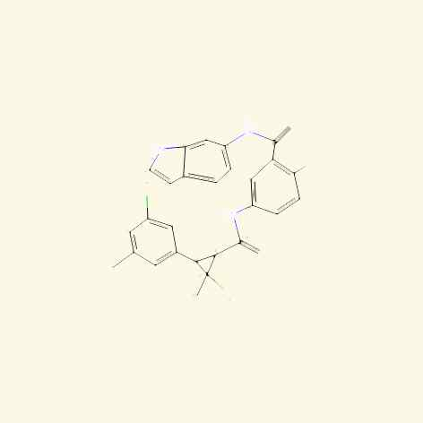 C=C(Nc1ccc2cc[nH]c2c1)c1cc(NC(=C)C2C(c3cc(C)cc(Cl)c3)C2(C)Cl)ccc1Cl